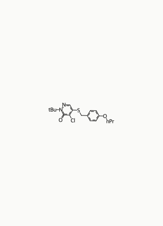 CCCOc1ccc(CSc2cnn(C(C)(C)C)c(=O)c2Cl)cc1